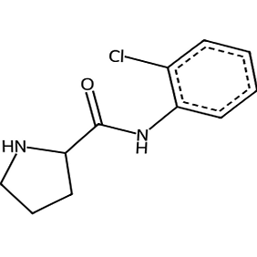 O=C(Nc1ccccc1Cl)C1CCCN1